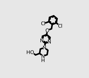 OCC1CN(c2ncc(OCc3c(Cl)cccc3Cl)cn2)CCN1